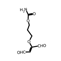 NC(=O)OCCCO/C(C=O)=C\C=O